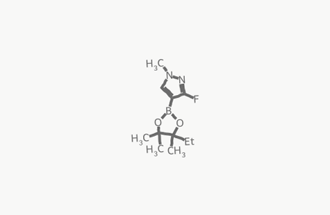 CCC1(C)OB(c2cn(C)nc2F)OC1(C)C